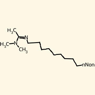 CCCCCCCCCCCCCCCCCCN=C(C)N(C)C